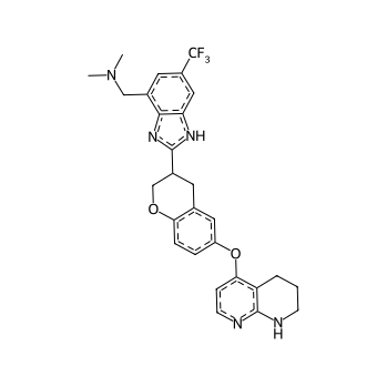 CN(C)Cc1cc(C(F)(F)F)cc2[nH]c(C3COc4ccc(Oc5ccnc6c5CCCN6)cc4C3)nc12